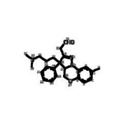 Cc1ccc2c(c1)N1N=C(CC=O)C(CCCN(C)C)(c3ccccc3)C1CO2